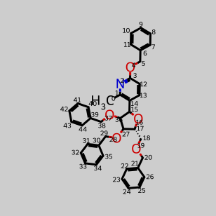 Cc1nc(OCc2ccccc2)ccc1C1O[C@H](COCc2ccccc2)C(OCc2ccccc2)C1OCc1ccccc1